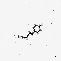 OCC=CC1CCC(Cl)CC1